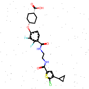 O=C(NCCNC(=O)c1ccc(O[C@H]2CC[C@@H](C(=O)O)CC2)c(F)c1F)c1cc(C2CC2)c(Cl)s1